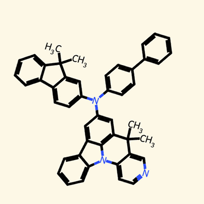 CC1(C)c2ccccc2-c2ccc(N(c3ccc(-c4ccccc4)cc3)c3cc4c5c(c3)c3ccccc3n5-c3ccncc3C4(C)C)cc21